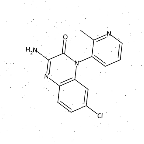 Cc1ncccc1-n1c(=O)c(N)nc2ccc(Cl)cc21